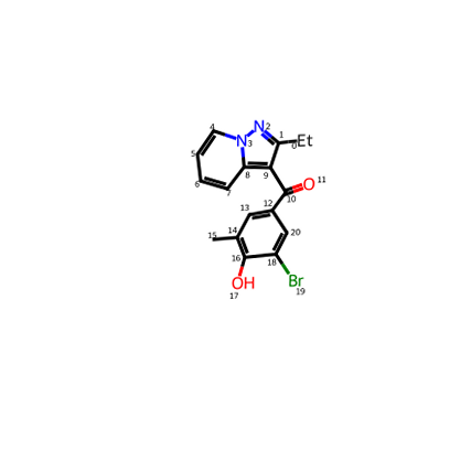 CCc1nn2ccccc2c1C(=O)c1cc(C)c(O)c(Br)c1